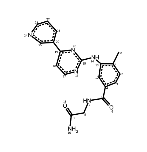 Cc1ccc(C(=O)NCC(N)=O)cc1Nc1nccc(-c2cccnc2)n1